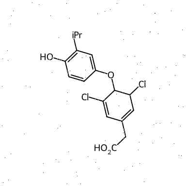 CC(C)c1cc(OC2C(Cl)=CC(CC(=O)O)=CC2Cl)ccc1O